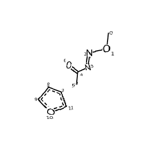 CON=NC(C)=O.c1ccoc1